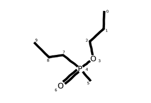 CCCOP(C)(=O)CCC